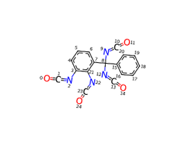 O=C=Nc1cccc(C(N=C=O)(N=C=O)c2ccccc2)c1N=C=O